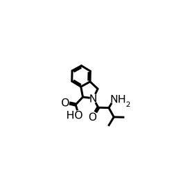 CC(C)C(N)C(=O)N1Cc2ccccc2C1C(=O)O